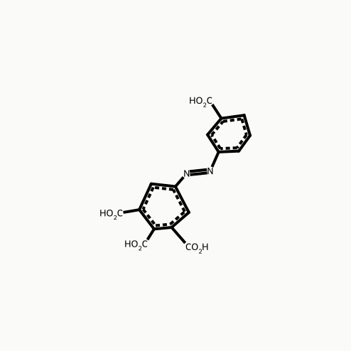 O=C(O)c1cccc(N=Nc2cc(C(=O)O)c(C(=O)O)c(C(=O)O)c2)c1